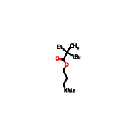 CC[C@](C)(C(=O)OCCCNC)C(C)(C)C